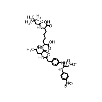 CC(C)CC(NC(=O)Cc1ccc(NC(=C[N+](=O)[O-])Nc2ccc([N+](=O)[O-])cc2)cc1)C(=O)NC(CCCCC(NC(=O)CC(C)(C)C)C(=O)O)C(=O)O